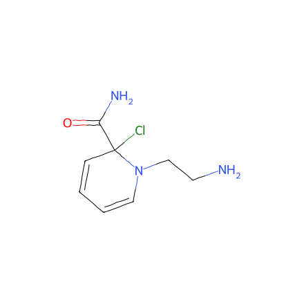 NCCN1C=CC=CC1(Cl)C(N)=O